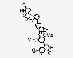 COc1cc(-c2cn(C)c(=O)c3cnc(N4CCC4)cc23)cc(OC)c1CN1C(=O)C(F)(F)c2cc(-c3cccc4c3n(C)c(=O)n4C3CCC(=O)NC3=O)ccc21